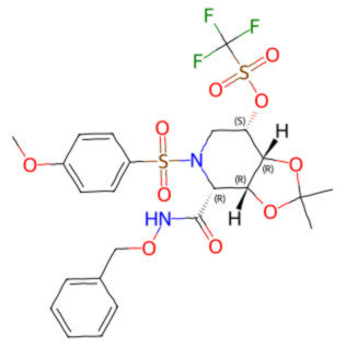 COc1ccc(S(=O)(=O)N2C[C@H](OS(=O)(=O)C(F)(F)F)[C@@H]3OC(C)(C)O[C@@H]3[C@@H]2C(=O)NOCc2ccccc2)cc1